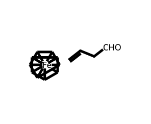 C=CCC=O.[CH]12[CH]3[CH]4[CH]5[CH]1[Fe]23451678[CH]2[CH]1[CH]6[CH]7[CH]28